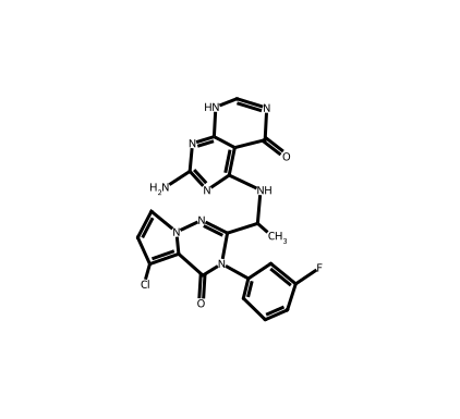 CC(Nc1nc(N)nc2[nH]cnc(=O)c12)c1nn2ccc(Cl)c2c(=O)n1-c1cccc(F)c1